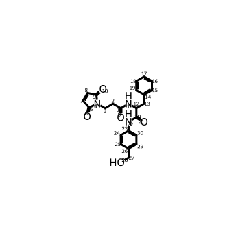 O=C(CCN1C(=O)C=CC1=O)NC(Cc1ccccc1)C(=O)Nc1ccc(CO)cc1